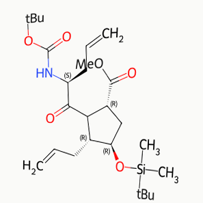 C=CC[C@H](NC(=O)OC(C)(C)C)C(=O)C1[C@@H](CC=C)[C@H](O[Si](C)(C)C(C)(C)C)C[C@H]1C(=O)OC